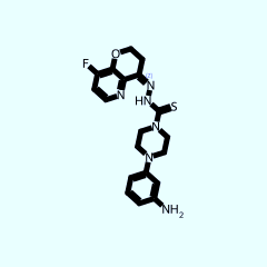 Nc1cccc(N2CCN(C(=S)N/N=C3/CCOc4c(F)ccnc43)CC2)c1